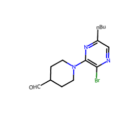 CCCCc1cnc(Br)c(N2CCC(C=O)CC2)n1